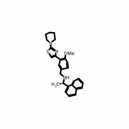 COc1ccc(CN[C@H](C)c2cccc3ccccc23)cc1-c1csc(N2CCCCC2)n1